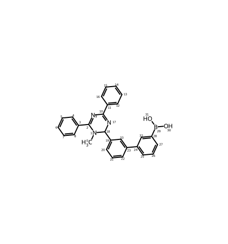 CN1C(c2ccccc2)=NC(c2ccccc2)=NC1c1cccc(-c2cccc(B(O)O)c2)c1